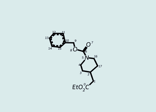 CCOC(=O)CC1CCN(C(=O)OCc2ccccc2)CC1